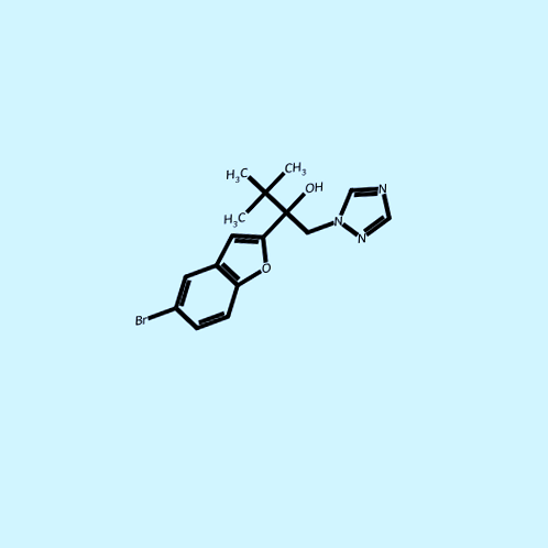 CC(C)(C)C(O)(Cn1cncn1)c1cc2cc(Br)ccc2o1